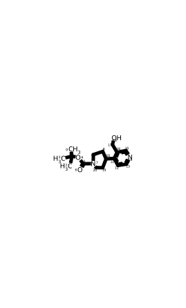 CC(C)(C)OC(=O)N1CCC(c2ccncc2CO)CC1